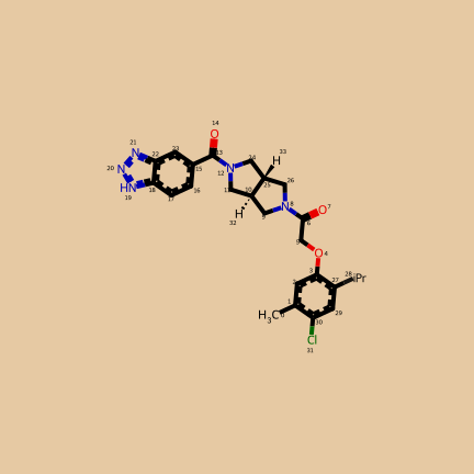 Cc1cc(OCC(=O)N2C[C@H]3CN(C(=O)c4ccc5[nH]nnc5c4)C[C@@H]3C2)c(C(C)C)cc1Cl